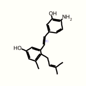 CC(C)=CCc1c(C)cc(O)cc1/C=C/c1ccc(N)c(O)c1